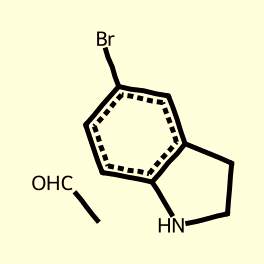 Brc1ccc2c(c1)CCN2.CC=O